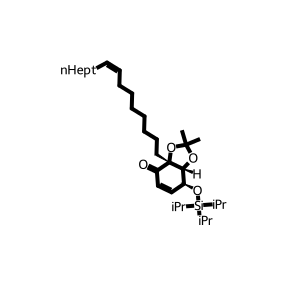 CCCCCCC/C=C\CCCCCCC[C@@]12OC(C)(C)O[C@@H]1[C@@H](O[Si](C(C)C)(C(C)C)C(C)C)C=CC2=O